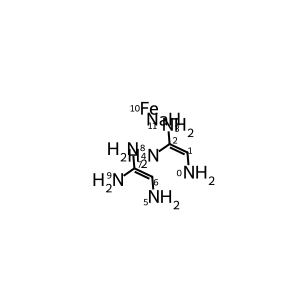 NC=C(N)N.NC=C(N)N.[Fe].[NaH]